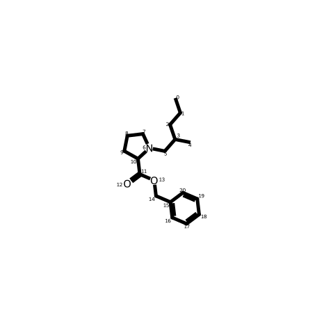 CCCC(C)CN1CCCC1C(=O)OCc1ccccc1